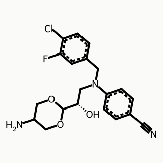 N#Cc1ccc(N(Cc2ccc(Cl)c(F)c2)C[C@H](O)C2OCC(N)CO2)cc1